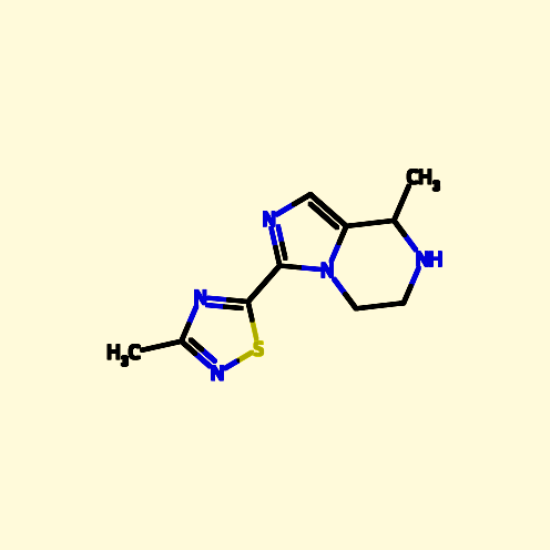 Cc1nsc(-c2ncc3n2CCNC3C)n1